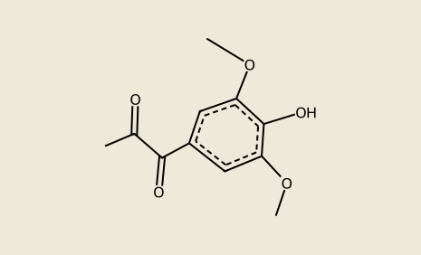 COc1cc(C(=O)C(C)=O)cc(OC)c1O